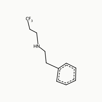 FC(F)(F)CCNCCc1ccccc1